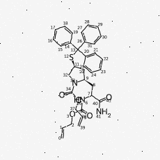 C=CCOC(=O)NC(C[C@@H]1C[C@H](SC(c2ccccc2)(c2ccccc2)c2ccccc2)CN1C(=O)OCC=C)C(N)=O